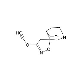 C#COC1=NOC2(C1)CN1CCC2CC1